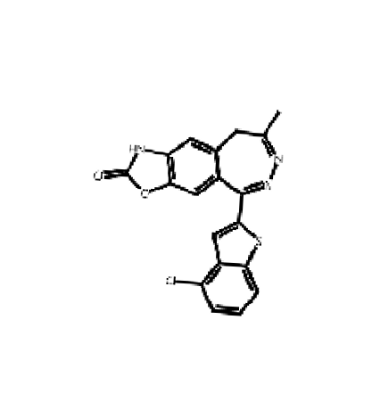 CC1=NN=C(c2cc3c(Cl)cccc3s2)c2cc3oc(=O)[nH]c3cc2C1